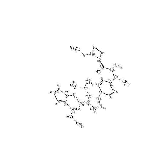 CCN1CC[C@H]1C(=O)N(C)C(C)c1ccc(-c2n[nH]c(-c3cc(OC)c4ncnn4c3)c2C(C)C)cc1